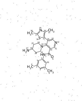 Cc1cc(C)cc(NC(=O)c2cncc(-c3sc(C)nc3C)c2N2CCC(N)CC2)c1